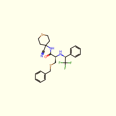 N#CC1(NC(=O)[C@H](CSCc2ccccc2)N[C@@H](c2ccccc2)C(F)(F)F)CCSCC1